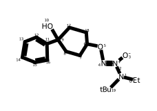 CCN(/[N+]([O-])=N/OC1CCC(O)(c2ccccc2)CC1)C(C)(C)C